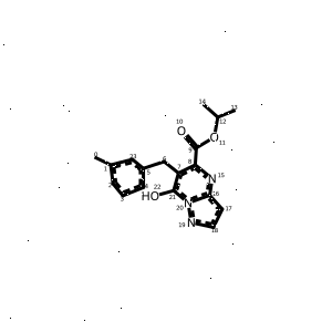 Cc1cccc(Cc2c(C(=O)OC(C)C)nc3ccnn3c2O)c1